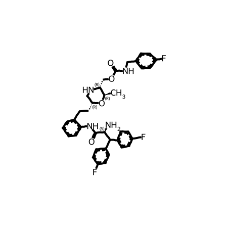 C[C@H]1O[C@H](CCc2ccccc2NC(=O)[C@@H](N)C(c2ccc(F)cc2)c2ccc(F)cc2)CN[C@@H]1COC(=O)NCc1ccc(F)cc1